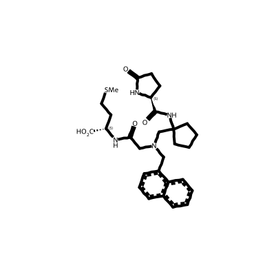 CSCC[C@H](NC(=O)CN(Cc1cccc2ccccc12)CC1(NC(=O)[C@@H]2CCC(=O)N2)CCCC1)C(=O)O